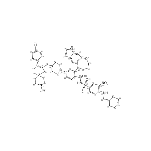 CC(C)N1CCC2(CCC(c3ccc(Cl)cc3)=C(CN3CCN(c4ccc(C(=O)NS(=O)(=O)c5ccc(NCC6CCOCC6)c([N+](=O)[O-])c5)c(N5CCCOc6nc7[nH]ccc7cc65)c4)CC3)C2)CC1